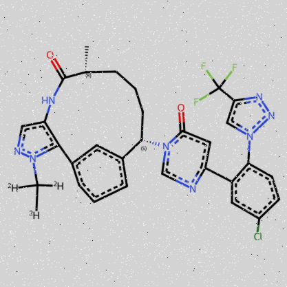 [2H]C([2H])([2H])n1ncc2c1-c1cccc(c1)[C@@H](n1cnc(-c3cc(Cl)ccc3-n3cc(C(F)(F)F)nn3)cc1=O)CCC[C@@H](C)C(=O)N2